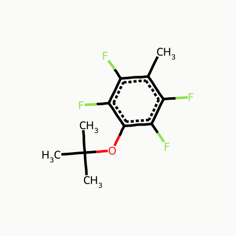 Cc1c(F)c(F)c(OC(C)(C)C)c(F)c1F